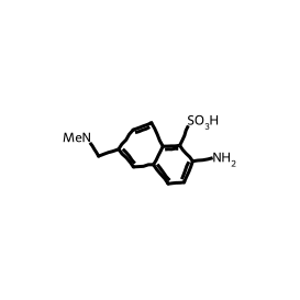 CNCc1ccc2c(S(=O)(=O)O)c(N)ccc2c1